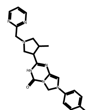 CC1CN(Cc2ncccn2)CC1C1=NC2=CN(c3ccc(F)cc3)CN2C(=O)N1